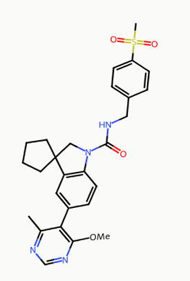 COc1ncnc(C)c1-c1ccc2c(c1)C1(CCCC1)CN2C(=O)NCc1ccc(S(C)(=O)=O)cc1